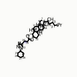 CC(C)CCC[C@@H](C)[C@H]1CC[C@H]2[C@@H]3CC=C4C[C@@H](OC(=O)/C=C/c5cn(C6CCCCC6)nn5)CC[C@]4(C)[C@H]3CC[C@]12C